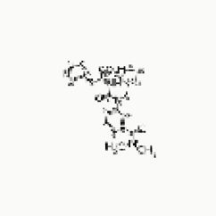 CN(C)C(=O)c1cccc(N(CC2CCCC2)C(=O)NC(Sc2cncs2)C(=O)O)c1